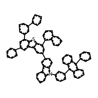 c1ccc(-c2cccc(-c3cc(-c4ccccc4)cc4c3sc3c(-c5cccc6ccccc56)cc(-c5ccc6c(c5)c5ccccc5n6-c5cccc(-c6c7ccccc7c(-c7ccccc7)c7ccccc67)c5)cc34)c2)cc1